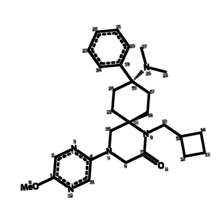 COc1cnc(N2CC(=O)N(CC3CCC3)[C@]3(CC[C@@](c4ccccc4)(N(C)C)CC3)C2)cn1